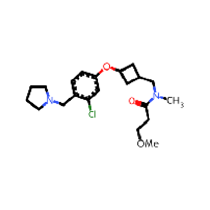 COCCC(=O)N(C)CC1CC(Oc2ccc(CN3CCCC3)c(Cl)c2)C1